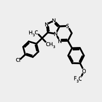 CC(C)(c1ccc(Cl)cc1)c1nnc2n1N=C(c1ccc(OC(F)(F)F)cc1)CS2